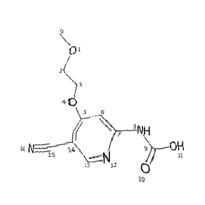 COCCOc1cc(NC(=O)O)ncc1C#N